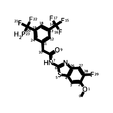 COc1cc2sc(NC(=O)Cc3cc(C(F)(F)F)cc(C(F)(F)P)c3)nc2cc1F